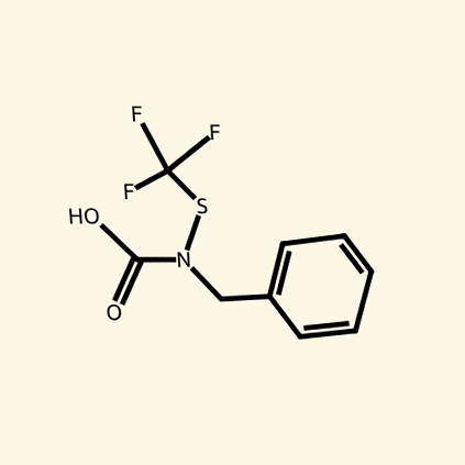 O=C(O)N(Cc1ccccc1)SC(F)(F)F